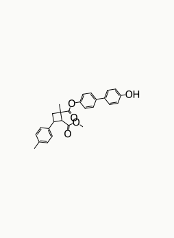 COC(=O)C1C(c2ccc(C)cc2)CC1(C)C(=O)Oc1ccc(-c2ccc(O)cc2)cc1